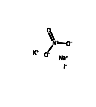 O=[N+]([O-])[O-].[I-].[K+].[Na+]